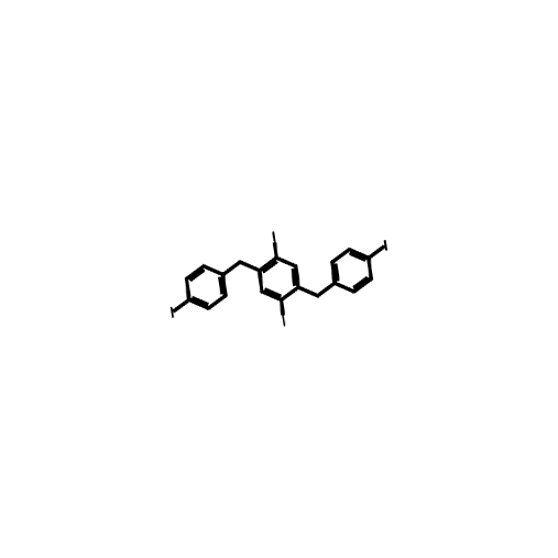 Ic1ccc(Cc2cc(I)c(Cc3ccc(I)cc3)cc2I)cc1